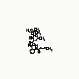 C=CCCC(=O)Nc1ccccc1-c1nnc([C@H](CC=C)NC(=O)OC(C)(C)C)o1